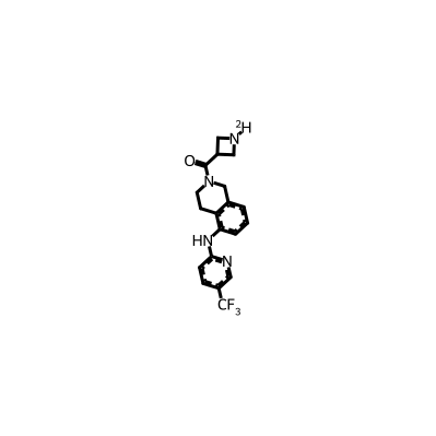 [2H]N1CC(C(=O)N2CCc3c(cccc3Nc3ccc(C(F)(F)F)cn3)C2)C1